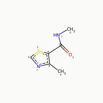 CNC(=O)c1s[c]nc1C